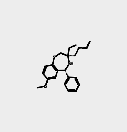 CCCC[C@@]1(CC)CSc2ccc(OC)cc2[C@@H](c2ccccc2)N1